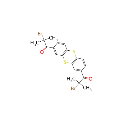 CC(C)(Br)C(=O)c1ccc2c(c1)Sc1cc(C(=O)C(C)(C)Br)ccc1S2